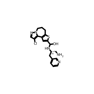 NC[C@H](Cc1cccnc1)NC(O)c1cc2c(s1)CCCn1ncc(Cl)c1-2